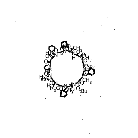 CC(C)C[C@@H]1NC(=O)[C@H](Cc2ccccc2)C(C)C(=O)[C@H](COC(C)(C)C)NC(=O)[C@H](Cc2ccccc2)N(C)C(=O)[C@H](C)N(C)C(=O)[C@H](CC(C)C)N(C)C(=O)[C@H]2CCCN2C(=O)C[C@@H](C(=O)N2CCCCC2)N(C)C(=O)[C@H](Cc2ccccc2)N(C)C(=O)[C@H]([C@@H](C)O)NC(=O)[C@H](C(C)C)N(C)C1=O